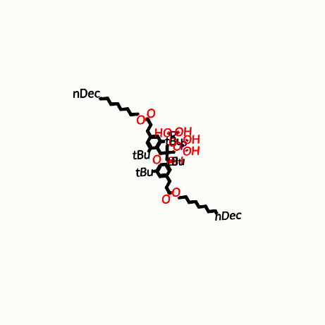 CCCCCCCCCCCCCCCCCCOC(=O)CCc1cc(C(C)(C)C)c(OC(c2c(C(C)(C)C)cc(CCC(=O)OCCCCCCCCCCCCCCCCCC)cc2C(C)(C)C)C(CO)(COP(O)O)COP(O)O)c(C(C)(C)C)c1